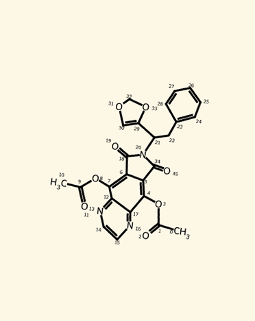 CC(=O)Oc1c2c(c(OC(C)=O)c3nccnc13)C(=O)N(C(Cc1ccccc1)C1=COCO1)C2=O